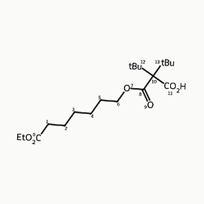 CCOC(=O)CCCCCCOC(=O)C(C(=O)O)(C(C)(C)C)C(C)(C)C